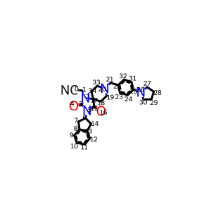 N#CCN1C(=O)N(C2Cc3ccccc3C2)C(=O)C12CCN(Cc1ccc(N3CCCC3)cc1)CC2